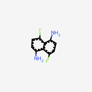 Nc1ccc(F)c2c(N)ccc(F)c12